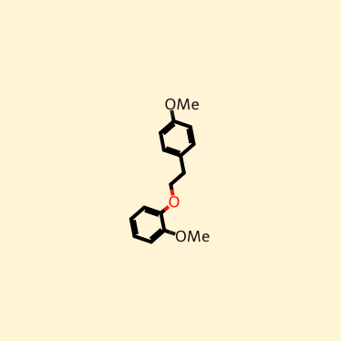 COc1ccc(CCOc2ccccc2OC)cc1